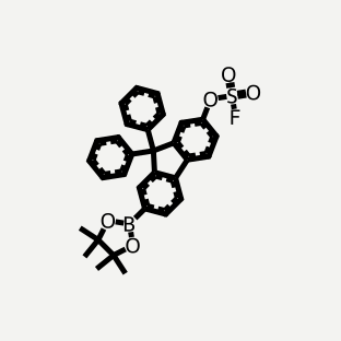 CC1(C)OB(c2ccc3c(c2)C(c2ccccc2)(c2ccccc2)c2cc(OS(=O)(=O)F)ccc2-3)OC1(C)C